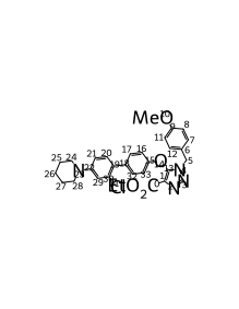 CCOC(=O)c1nnn(Cc2ccc(OC)cc2)c1Oc1ccc(-c2ccc(N3CCCCC3)cc2Cl)cc1